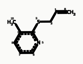 C=CCSc1ncccc1C